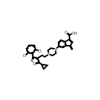 C=C1C=C(C(=O)O)c2ccc(N3CCN(CCc4c(-c5c(Cl)cccc5Cl)noc4C4CC4)CC3)cc21